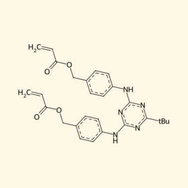 C=CC(=O)OCc1ccc(Nc2nc(Nc3ccc(COC(=O)C=C)cc3)nc(C(C)(C)C)n2)cc1